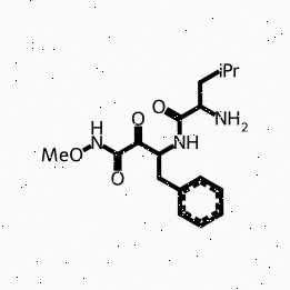 CONC(=O)C(=O)C(Cc1ccccc1)NC(=O)C(N)CC(C)C